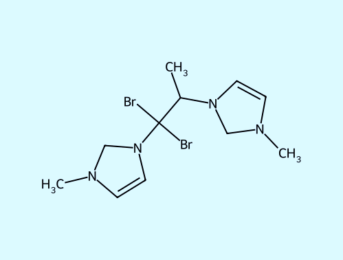 CC(N1C=CN(C)C1)C(Br)(Br)N1C=CN(C)C1